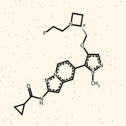 Cn1ncc(OC[C@H]2CCN2CCF)c1-c1ccn2nc(NC(=O)C3CC3)cc2c1